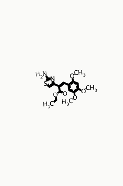 CCOC(=O)/C(=C\c1cc(OC)c(OC)cc1OC)c1csc(N)n1